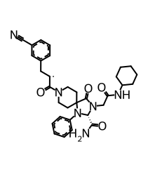 N#Cc1cccc(C[CH]C(=O)N2CCC3(CC2)C(=O)N(CC(=O)NC2CCCCC2)[C@H](C(N)=O)N3c2ccccc2)c1